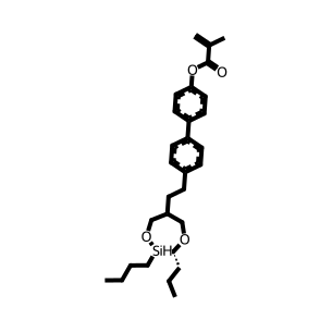 C=C(C)C(=O)Oc1ccc(-c2ccc(CCC3CO[C@H](CCC)[SiH](CCCC)OC3)cc2)cc1